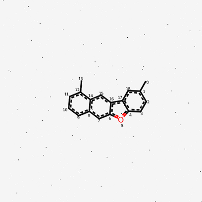 Cc1ccc2oc3cc4cccc(C)c4cc3c2c1